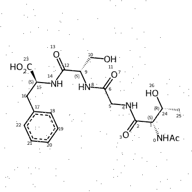 CC(=O)N[C@H](C(=O)NCC(=O)N[C@@H](CO)C(=O)N[C@@H](Cc1ccccc1)C(=O)O)[C@@H](C)O